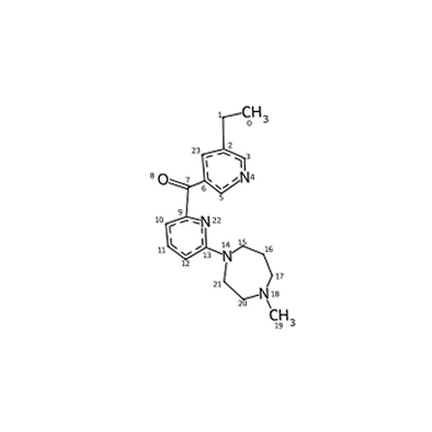 CCc1cncc(C(=O)c2cccc(N3CCCN(C)CC3)n2)c1